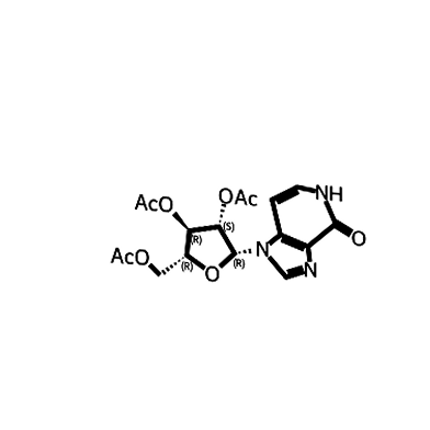 CC(=O)OC[C@H]1O[C@@H](n2cnc3c(=O)[nH]ccc32)[C@@H](OC(C)=O)[C@@H]1OC(C)=O